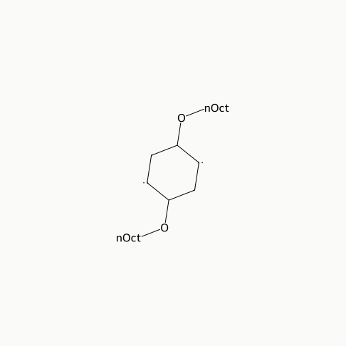 CCCCCCCCOC1[CH]CC(OCCCCCCCC)[CH]C1